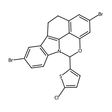 Clc1ccc(C2Oc3cc(Br)cc4c3-c3c(c5cc(Br)ccc5n32)CC4)s1